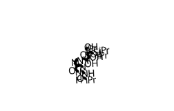 CC(C)C(=O)Nc1nc2c(ncn2[C@@H]2O[C@@](CO)(CO[Si](C(C)C)(C(C)C)C(C)C)[C@@H](O)[C@H]2O)c(=O)[nH]1